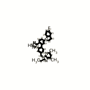 CCc1nc2c(C)cc(C)nc2n1Cc1ccc(-c2cc(-n3ccc4cc(F)ccc43)ccc2-c2nn[nH]n2)cc1